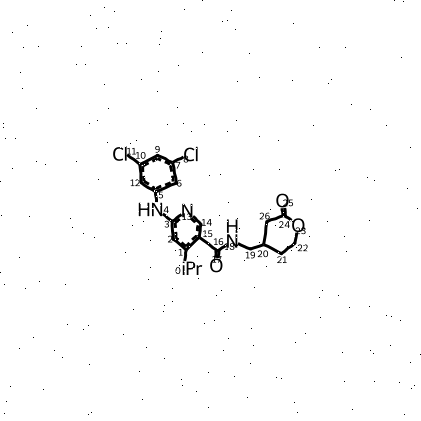 CC(C)c1cc(Nc2cc(Cl)cc(Cl)c2)ncc1C(=O)NCC1CCOC(=O)C1